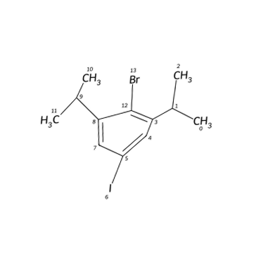 CC(C)c1cc(I)cc(C(C)C)c1Br